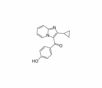 O=C(c1ccc(O)cc1)c1c(C2CC2)nc2ccccn12